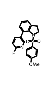 COc1ccc(S(=O)(=O)N2CCc3cccc(-c4ccc(F)nc4)c32)cc1